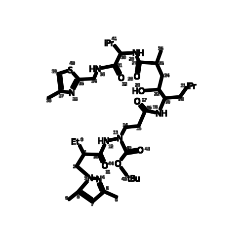 CCC(Cn1nc(C)cc1C)C(=O)NN(CCC(=O)NC(CC(C)C)C(O)CC(C)C(=O)NC(C(=O)NCc1nc(C)cs1)C(C)C)C(=O)OC(C)(C)C